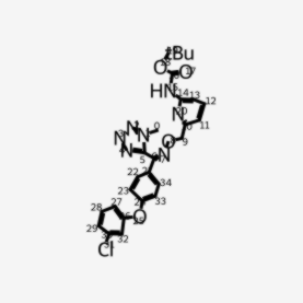 Cn1nnnc1/C(=N\OCc1cccc(NC(=O)OC(C)(C)C)n1)c1ccc(Oc2cccc(Cl)c2)cc1